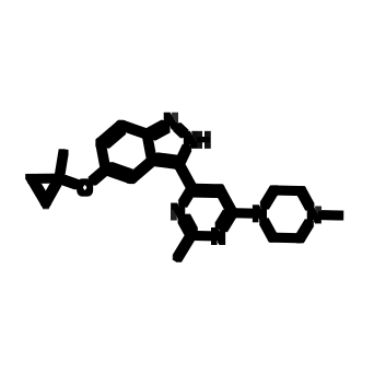 Cc1nc(-c2[nH]nc3ccc(OC4(C)CC4)cc23)cc(N2CCN(C)CC2)n1